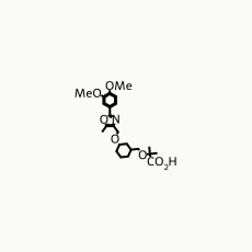 COc1ccc(-c2nc(CO[C@H]3CCCC(COC(C)(C)C(=O)O)C3)c(C)o2)cc1OC